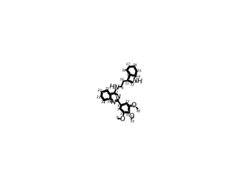 COc1cc(-c2nc(NCCc3c[nH]c4ccccc34)c3ccccc3n2)cc(OC)c1OC